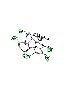 Cc1cc(Br)c2c(Br)cc(Cl)c3c4c(Cl)cc(Br)c5c(Br)cc(C)c(c1c23)c54